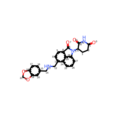 O=C1CCC(N2C(=O)c3ccc(CNCc4ccc5c(c4)OCO5)c4cccc2c34)C(=O)N1